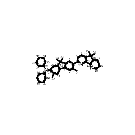 Cc1cc2c(cc1-c1ccc3c(n1)-c1ncccc1C3(C)C)C(C)(C)c1cc(N(c3ccccc3)c3ccccc3)c(C)cc1-2